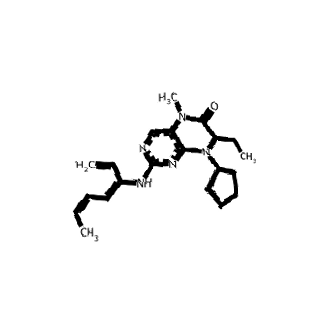 C=C/C(=C\C=C/C)Nc1ncc2c(n1)N(C1CCCC1)C(CC)C(=O)N2C